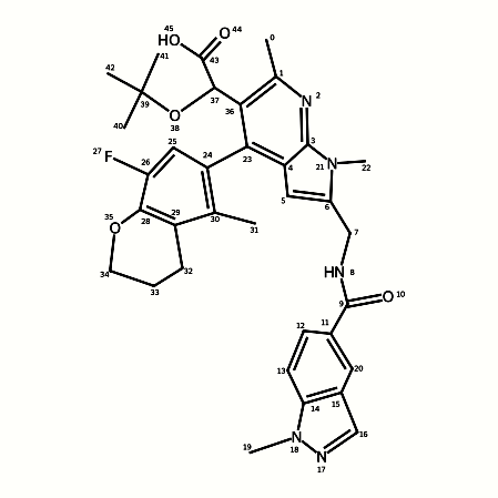 Cc1nc2c(cc(CNC(=O)c3ccc4c(cnn4C)c3)n2C)c(-c2cc(F)c3c(c2C)CCCO3)c1C(OC(C)(C)C)C(=O)O